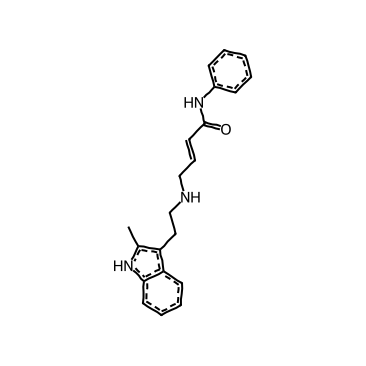 Cc1[nH]c2ccccc2c1CCNCC=CC(=O)Nc1ccccc1